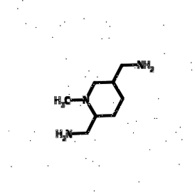 CN1CC(CN)CCC1CN